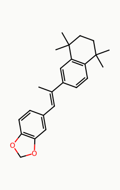 CC(=Cc1ccc2c(c1)OCO2)c1ccc2c(c1)C(C)(C)CCC2(C)C